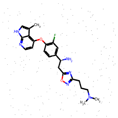 Cc1c[nH]c2nccc(Oc3ccc([C@@H](N)Cc4nc(CCCN(C)C)no4)cc3F)c12